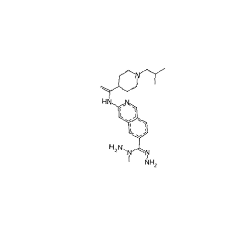 C=C(Nc1cc2cc(/C(=N/N)N(C)N)ccc2cn1)C1CCN(CC(C)C)CC1